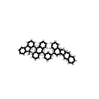 CC1(C)c2ccccc2-c2cccc(-c3c4ccccc4c(-c4cccc(-c5cc6c7cc8ccccc8cc7sc6c6ccccc56)c4)c4ccccc34)c21